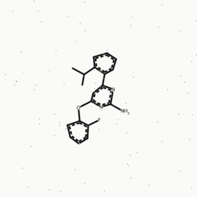 CC(C)c1ccccc1-c1cc(Oc2ccccc2F)nc(N)n1